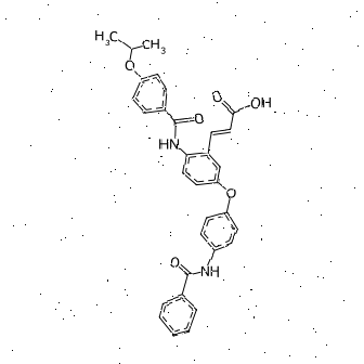 CC(C)Oc1ccc(C(=O)Nc2ccc(Oc3ccc(NC(=O)c4ccccc4)cc3)cc2/C=C/C(=O)O)cc1